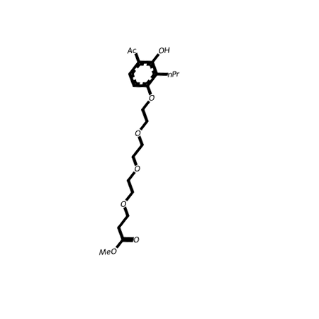 CCCc1c(OCCOCCOCCOCCC(=O)OC)ccc(C(C)=O)c1O